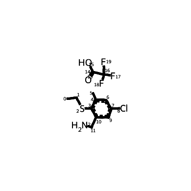 CCSc1c(C)cc(Cl)cc1CN.O=C(O)C(F)(F)F